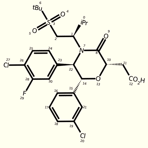 CC(C)[C@H](CS(=O)(=O)C(C)(C)C)N1C(=O)[C@H](CC(=O)O)O[C@H](c2cccc(Cl)c2)[C@H]1c1ccc(Cl)c(F)c1